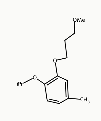 COCCCOc1cc(C)ccc1OC(C)C